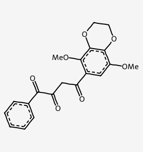 COc1cc(C(=O)CC(=O)C(=O)c2ccccc2)c(OC)c2c1OCCO2